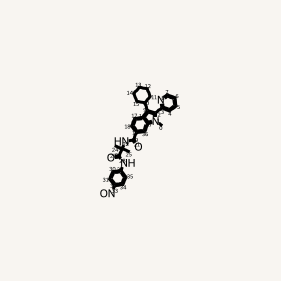 Cn1c(-c2ccccn2)c(C2CCCCC2)c2ccc(C(=O)NC(C)(C)C(=O)Nc3ccc(N=O)cc3)cc21